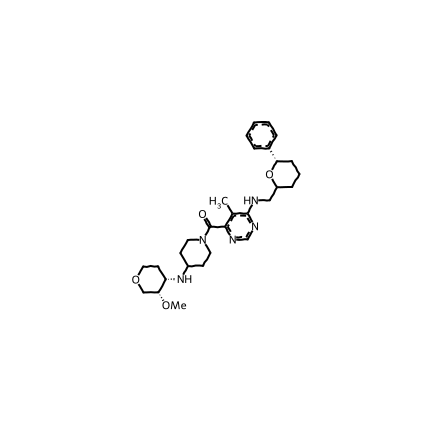 CO[C@@H]1COCC[C@@H]1NC1CCN(C(=O)c2ncnc(NCC3CCC[C@@H](c4ccccc4)O3)c2C)CC1